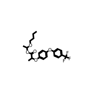 CCCCOC(C)OC(=O)C(C)Oc1ccc(Oc2ccc(C(F)(F)F)cc2)cc1